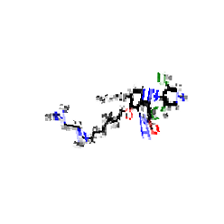 COc1ccc2c(Nc3c(Cl)cncc3Cl)cc(=O)[nH]c2c1OCCCCCCN(C)CCN(C)C